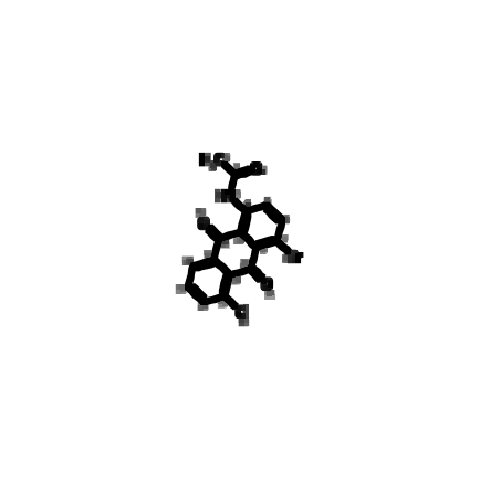 CC(=O)Nc1ccc(Br)c2c1C(=O)c1cccc(Cl)c1C2=O